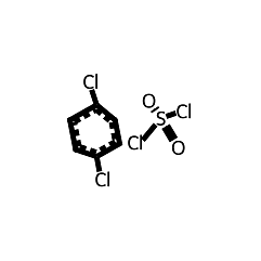 Clc1ccc(Cl)cc1.O=S(=O)(Cl)Cl